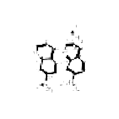 C=O.O=[N+]([O-])c1ccc2cccnc2c1.O=[N+]([O-])c1ccc2cccnc2c1